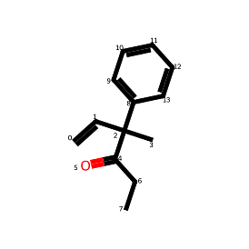 C=CC(C)(C(=O)CC)c1ccccc1